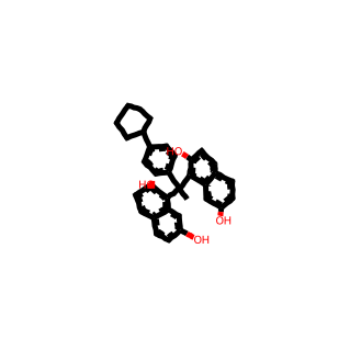 CC(c1ccc(C2CCCCC2)cc1)(c1c(O)ccc2ccc(O)cc12)c1c(O)ccc2ccc(O)cc12